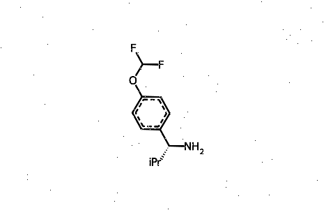 CC(C)[C@@H](N)c1ccc(OC(F)F)cc1